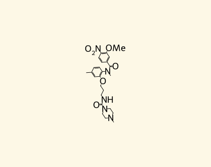 COc1cc(C(=O)N(C)c2ccc(C)cc2OCCCNC(=O)N2CCN(C)CC2)ccc1[N+](=O)[O-]